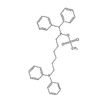 CS(=O)(=O)OP(CCCCCCP(c1ccccc1)c1ccccc1)C(c1ccccc1)c1ccccc1